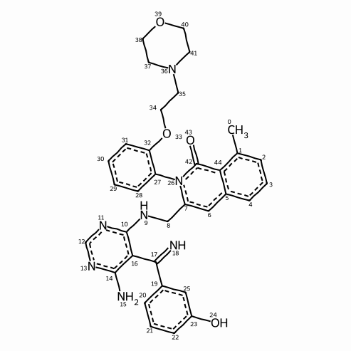 Cc1cccc2cc(CNc3ncnc(N)c3C(=N)c3cccc(O)c3)n(-c3ccccc3OCCN3CCOCC3)c(=O)c12